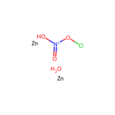 O.O=[N+](O)OCl.[Zn].[Zn]